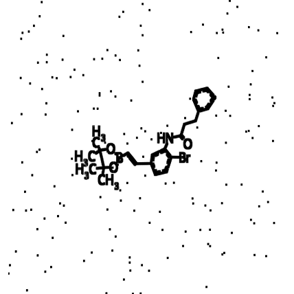 CC1(C)OB(/C=C/c2ccc(Br)c(NC(=O)CCc3ccccc3)c2)OC1(C)C